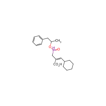 CC(Cc1ccccc1)O[PH](=O)CC(=CC1CCCCC1)C(=O)O